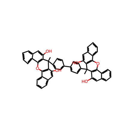 CC1(c2ccc(-c3ccc(C4(C)c5c(O)cc6ccccc6c5Oc5c4c(O)cc4ccccc54)cc3)cc2)c2c(O)cc3ccccc3c2Oc2c1c(O)cc1ccccc21